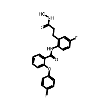 O=C(CCc1cc(F)ccc1NC(=O)c1ccccc1Oc1ccc(F)cc1)NO